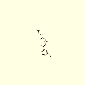 COc1cccc(/C(C)=C/S(=O)(=O)NC(=O)NCC(=O)O)c1